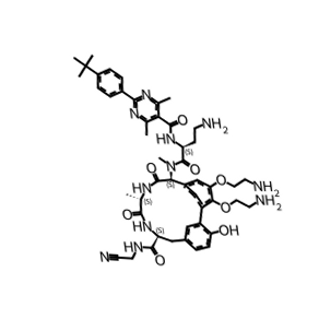 Cc1nc(-c2ccc(C(C)(C)C)cc2)nc(C)c1C(=O)N[C@@H](CCN)C(=O)N(C)[C@@H]1C(=O)N[C@@H](C)C(=O)N[C@H](C(=O)NCC#N)Cc2ccc(O)c(c2)-c2cc1cc(OCCN)c2OCCN